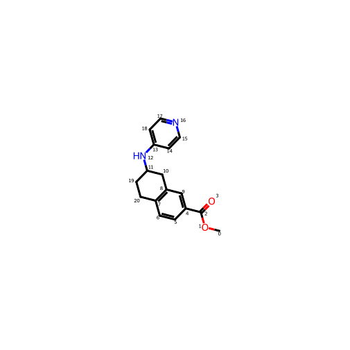 COC(=O)c1ccc2c(c1)CC(Nc1ccncc1)CC2